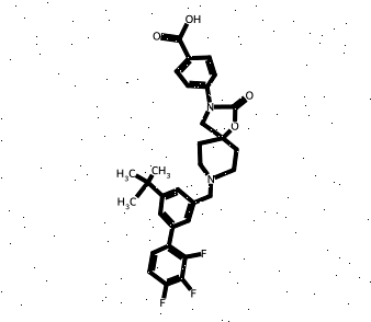 CC(C)(C)c1cc(CN2CCC3(CC2)CN(c2ccc(C(=O)O)cc2)C(=O)O3)cc(-c2ccc(F)c(F)c2F)c1